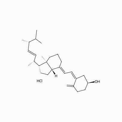 C=C1CC[C@H](O)C/C1=C/C=C1\CCC[C@]2(C)[C@@H]([C@H](C)/C=C/[C@H](C)C(C)C)CC[C@@H]12.Cl